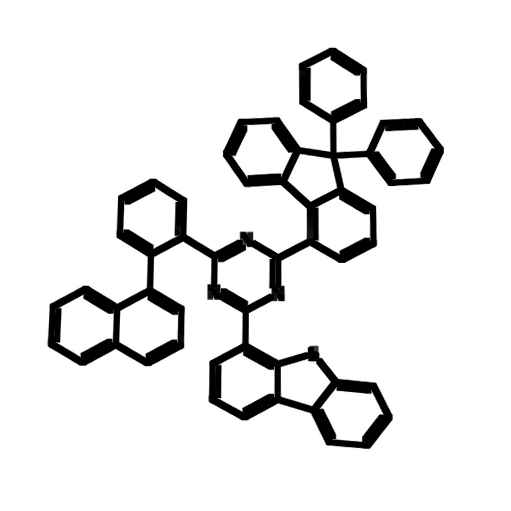 c1ccc(C2(c3ccccc3)c3ccccc3-c3c(-c4nc(-c5ccccc5-c5cccc6ccccc56)nc(-c5cccc6c5sc5ccccc56)n4)cccc32)cc1